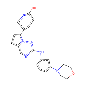 Oc1ccc(-c2ccc3cnc(Nc4cccc(N5CCOCC5)c4)nn23)cn1